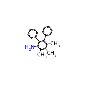 Cc1c(C)c(N)c(-c2ccccc2)c(-c2ccccc2)c1C